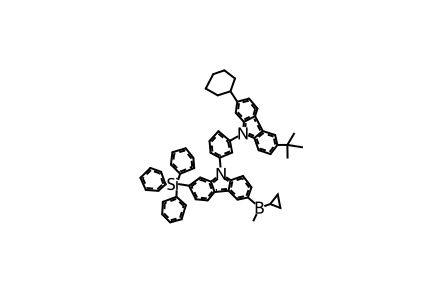 CB(c1ccc2c(c1)c1ccc([Si](c3ccccc3)(c3ccccc3)c3ccccc3)cc1n2-c1cccc(-n2c3ccc(C(C)(C)C)cc3c3ccc(C4CCCCC4)cc32)c1)C1CC1